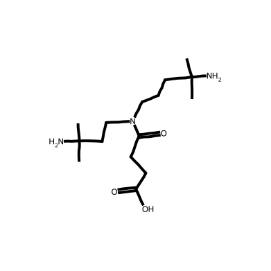 CC(C)(N)CCCN(CCC(C)(C)N)C(=O)CCC(=O)O